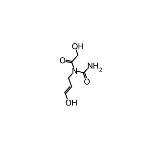 NC(=O)N(CC=CO)C(=O)CO